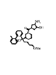 COCCCCC(O)(c1ccccc1-c1ccccc1C)C1CCCN(C(=O)C2CC(N)C(O)C2)C1